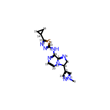 Cn1cc(C2CN=C3C(Nc4nnc(C5CC5)s4)=NC=CN32)cn1